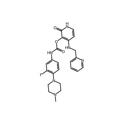 CN1CCN(c2ccc(NC(=O)Oc3c(NCc4ccccn4)cc[nH]c3=O)cc2F)CC1